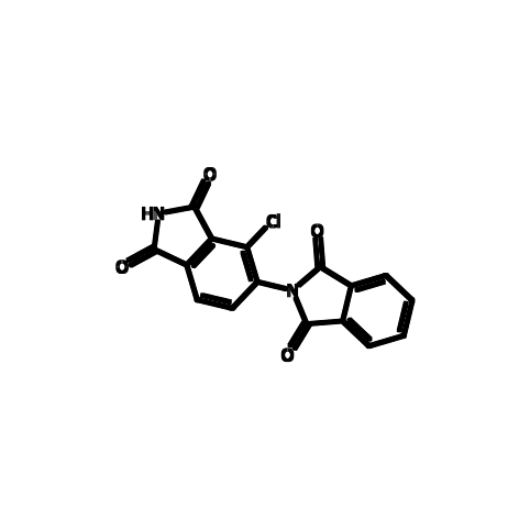 O=C1NC(=O)c2c1ccc(N1C(=O)c3ccccc3C1=O)c2Cl